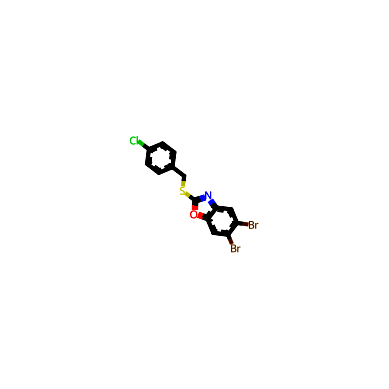 Clc1ccc(CSc2nc3cc(Br)c(Br)cc3o2)cc1